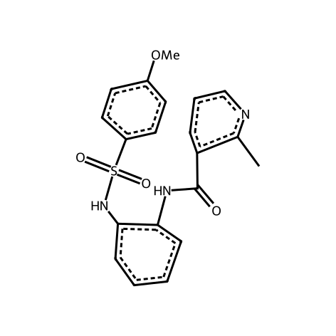 COc1ccc(S(=O)(=O)Nc2ccccc2NC(=O)c2cccnc2C)cc1